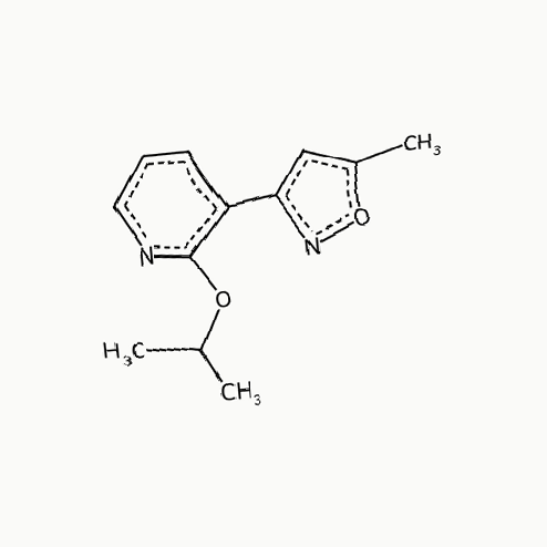 Cc1cc(-c2cccnc2OC(C)C)no1